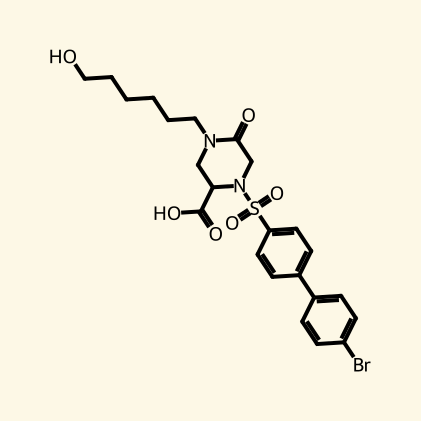 O=C(O)C1CN(CCCCCCO)C(=O)CN1S(=O)(=O)c1ccc(-c2ccc(Br)cc2)cc1